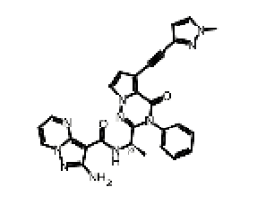 C[C@@H](NC(=O)c1c(N)nn2cccnc12)c1nn2ccc(C#Cc3ccn(C)n3)c2c(=O)n1-c1ccccc1